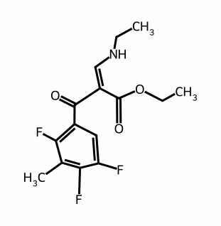 CCNC=C(C(=O)OCC)C(=O)c1cc(F)c(F)c(C)c1F